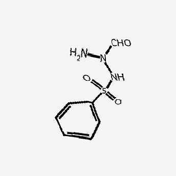 NN(C=O)NS(=O)(=O)c1ccccc1